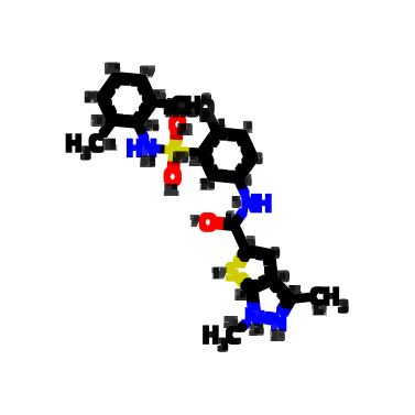 COc1ccc(NC(=O)c2cc3c(C)nn(C)c3s2)cc1S(=O)(=O)Nc1c(C)cccc1C